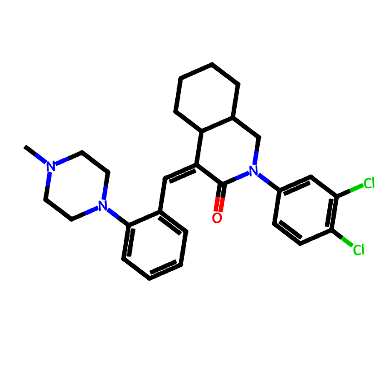 CN1CCN(c2ccccc2C=C2C(=O)N(c3ccc(Cl)c(Cl)c3)CC3CCCCC23)CC1